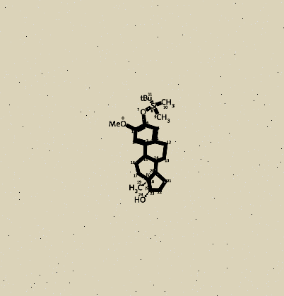 COc1cc2c(cc1O[Si](C)(C)C(C)(C)C)CCC1C2CC[C@@]2(C)C1CC[C@@H]2O